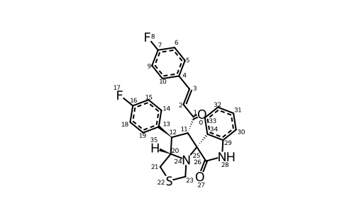 O=C(/C=C/c1ccc(F)cc1)[C@H]1[C@H](c2ccc(F)cc2)[C@H]2CSCN2[C@]12C(=O)Nc1ccccc12